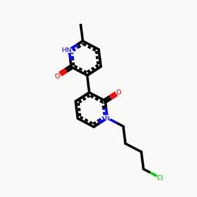 Cc1ccc(-c2cccn(CCCCCl)c2=O)c(=O)[nH]1